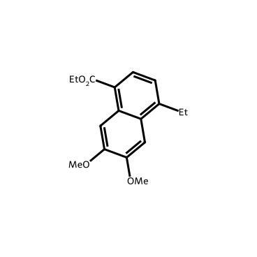 CCOC(=O)c1ccc(CC)c2cc(OC)c(OC)cc12